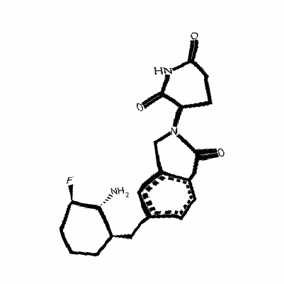 N[C@@H]1[C@@H](Cc2ccc3c(c2)CN(C2CCC(=O)NC2=O)C3=O)CCC[C@H]1F